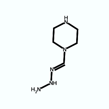 NNN=CN1CCNCC1